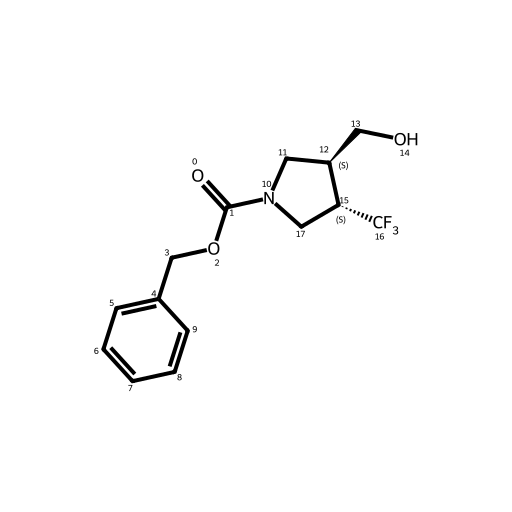 O=C(OCc1ccccc1)N1C[C@@H](CO)[C@H](C(F)(F)F)C1